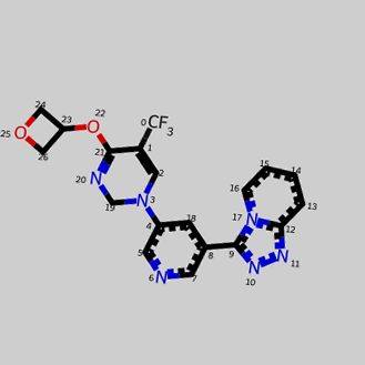 FC(F)(F)C1=CN(c2cncc(-c3nnc4ccccn34)c2)CN=C1OC1COC1